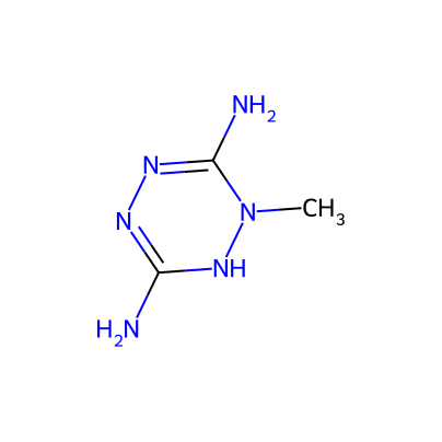 CN1NC(N)=NN=C1N